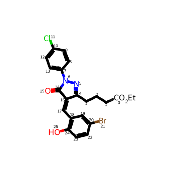 CCOC(=O)CCCC1=NN(c2ccc(Cl)cc2)C(=O)/C1=C/c1cc(Br)ccc1O